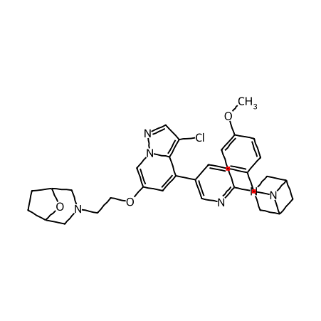 COc1ccc(CN2C3CC2CN(c2ccc(-c4cc(OCCN5CC6CCC(C5)O6)cn5ncc(Cl)c45)cn2)C3)cc1